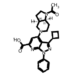 CC(=O)N1CC[C@@H]2CN(c3cc(C(=O)O)nc4c3c(C3CCC3)nn4-c3ccccc3)CC[C@@H]21